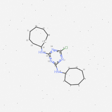 Clc1nc(NC2CCCCCCC2)nc(NC2CCCCCCC2)n1